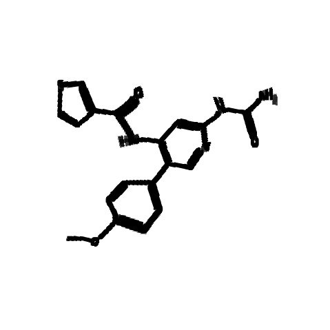 COc1ccc(-c2cnc(NC(N)=O)cc2NC(=O)c2ccsc2)cc1